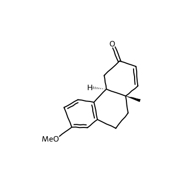 COc1ccc2c(c1)CC[C@@]1(C)C=CC(=O)C[C@H]21